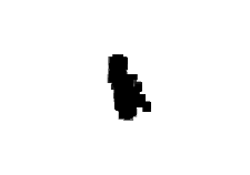 NC(=O)c1c(S(=O)(=O)c2ccccc2)ccc2c1nc(C(F)(F)F)n2Cc1ccc(-c2ccccc2)cc1